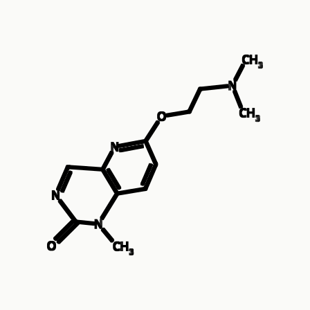 CN(C)CCOc1ccc2c(cnc(=O)n2C)n1